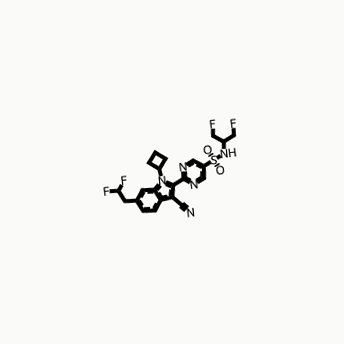 N#Cc1c(-c2ncc(S(=O)(=O)NC(CF)CF)cn2)n(C2CCC2)c2cc(CC(F)F)ccc12